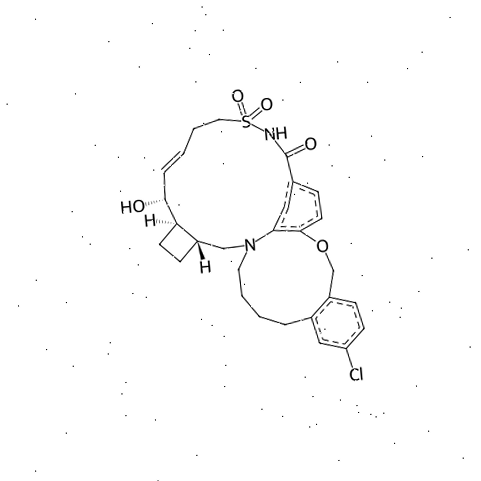 O=C1NS(=O)(=O)CC/C=C/[C@@H](O)[C@@H]2CC[C@H]2CN2CCCCc3cc(Cl)ccc3COc3ccc1cc32